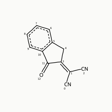 N#CC(C#N)=C1Cc2ccccc2C1=O